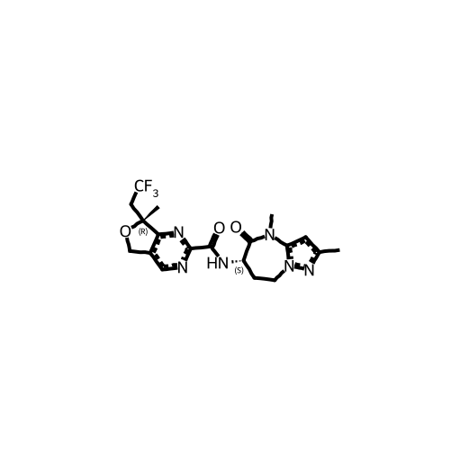 Cc1cc2n(n1)CC[C@H](NC(=O)c1ncc3c(n1)[C@@](C)(CC(F)(F)F)OC3)C(=O)N2C